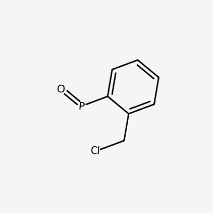 O=Pc1ccccc1CCl